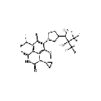 COc1c(N2CCC(C(N)C(O)(C(F)(F)F)C(F)(F)F)C2)c(F)c(C(F)F)c2c(=O)[nH]c(=O)n(C3CC3)c12